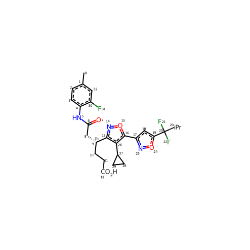 Cc1ccc(NC(=O)C[C@@H](CCC(=O)O)c2noc(-c3cc(C(F)(F)C(C)C)on3)c2C2CC2)c(F)c1